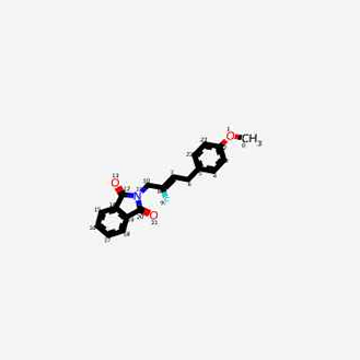 COc1ccc(CC=C(F)CN2C(=O)c3ccccc3C2=O)cc1